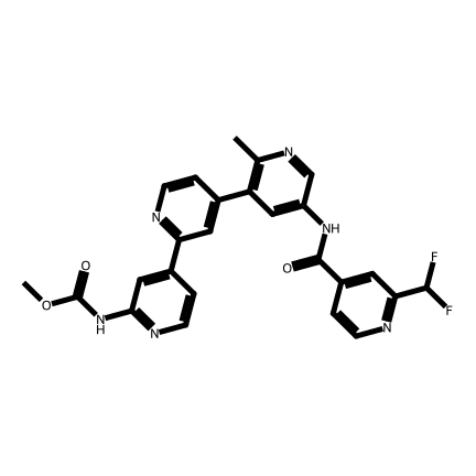 COC(=O)Nc1cc(-c2cc(-c3cc(NC(=O)c4ccnc(C(F)F)c4)cnc3C)ccn2)ccn1